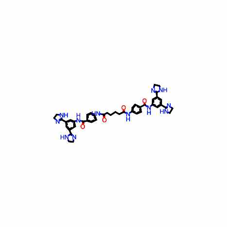 O=C(CCCCC(=O)Nc1ccc(C(=O)Nc2cc(C3=NCCN3)cc(C3=NCCN3)c2)cc1)Nc1ccc(C(=O)Nc2cc(C3=NCCN3)cc(C3=NCCN3)c2)cc1